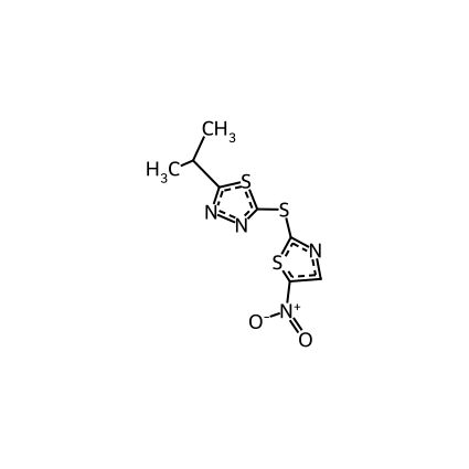 CC(C)c1nnc(Sc2ncc([N+](=O)[O-])s2)s1